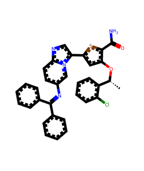 C[C@@H](Oc1cc(-c2cnc3ccc(N=C(c4ccccc4)c4ccccc4)cn23)sc1C(N)=O)c1ccccc1Cl